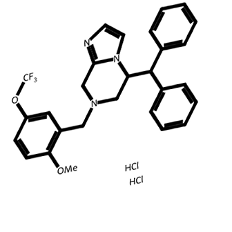 COc1ccc(OC(F)(F)F)cc1CN1Cc2nccn2C(C(c2ccccc2)c2ccccc2)C1.Cl.Cl